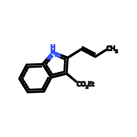 CC=Cc1[nH]c2ccccc2c1C(=O)OCC